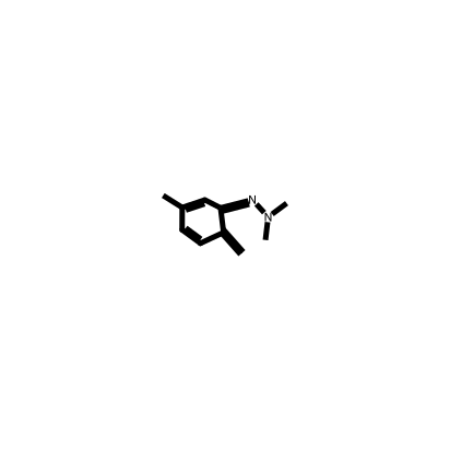 C=C1C=CC(C)=C/C1=N/N(C)C